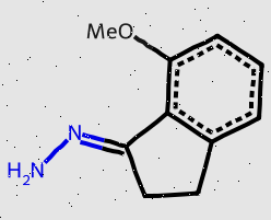 COc1cccc2c1/C(=N/N)CC2